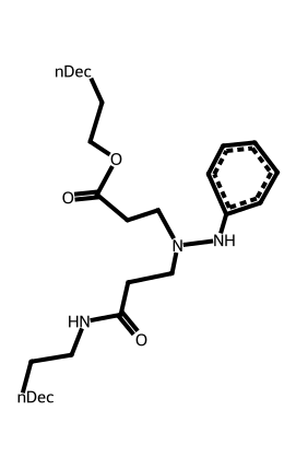 CCCCCCCCCCCCNC(=O)CCN(CCC(=O)OCCCCCCCCCCCC)Nc1ccccc1